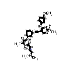 CNc1ncc(C#C[C@@H]2CCC[C@H](NC(=O)[C@H](C)N(C)C(=O)/C=C/CN(C)C)C2)c(Nc2ccc(OC)cc2)n1